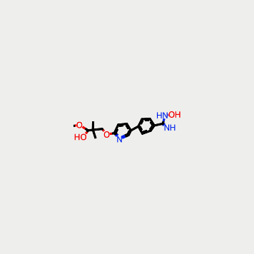 COC(O)C(C)(C)COc1ccc(-c2ccc(C(=N)NO)cc2)cn1